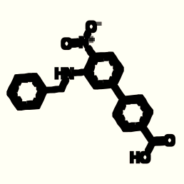 O=C(O)c1ccc(-c2ccc([N+](=O)[O-])c(NCc3ccccc3)c2)cc1